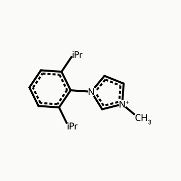 CC(C)c1cccc(C(C)C)c1-n1cc[n+](C)c1